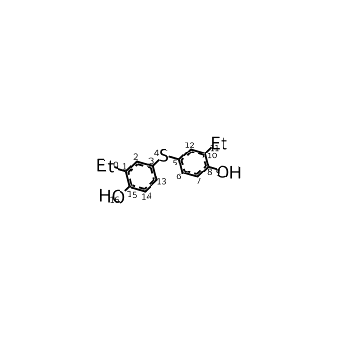 CCc1cc(Sc2ccc(O)c(CC)c2)ccc1O